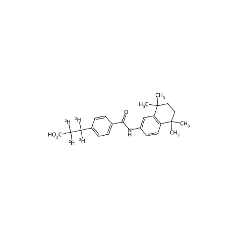 [2H]C([2H])(C(=O)O)C([2H])([2H])c1ccc(C(=O)Nc2ccc3c(c2)C(C)(C)CCC3(C)C)cc1